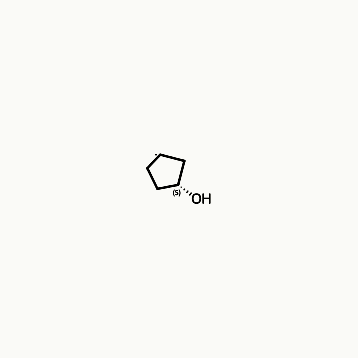 O[C@H]1C[CH]CC1